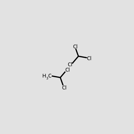 CC(Cl)Cl.ClC(Cl)Cl